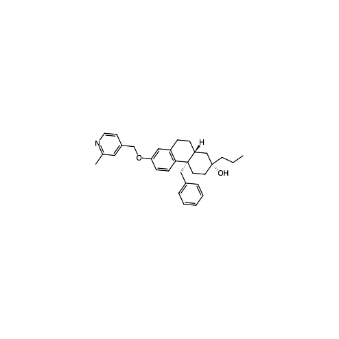 CCC[C@@]1(O)CC[C@@]2(Cc3ccccc3)c3ccc(OCc4ccnc(C)c4)cc3CC[C@@H]2C1